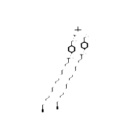 C#CCOCCOCCOCCOCCOCCC(=O)Nc1ccc(CN)cc1.C#CCOCCOCCOCCOCCOCCC(=O)Nc1ccc(CNC(=O)OC(C)(C)C)cc1